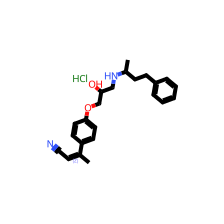 C/C(=C/C#N)c1ccc(OCC(O)CNC(C)CCc2ccccc2)cc1.Cl